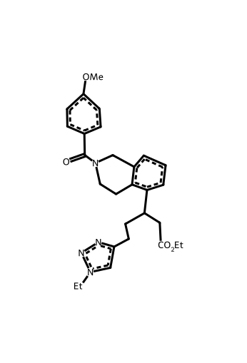 CCOC(=O)CC(CCc1cn(CC)nn1)c1cccc2c1CCN(C(=O)c1ccc(OC)cc1)C2